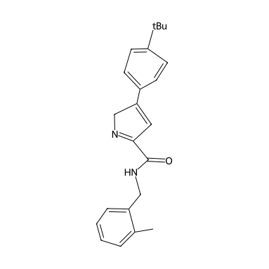 Cc1ccccc1CNC(=O)C1=NCC(c2ccc(C(C)(C)C)cc2)=C1